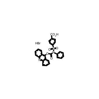 Br.O=C(O)c1ccc(S(=O)(=O)N(C(=O)Oc2c3ccccc3nc3ccccc23)c2ccccc2)cc1